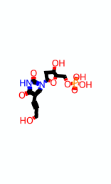 O=c1[nH]c(=O)n(C2CC(O)C(COP(=O)(O)O)O2)cc1C#CCO